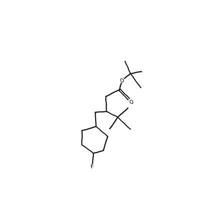 CC(C)(C)OC(=O)CC(CC1CCC(F)CC1)C(C)(C)C